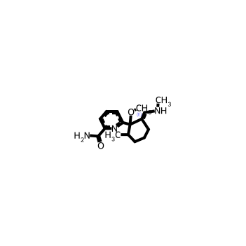 CN/C=C1\CCCC(C)C1(OC)c1cccc(C(N)=O)n1